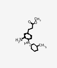 COC(=O)CCc1ccc(N[C@H]2CCCC(C)C2)c(N)c1